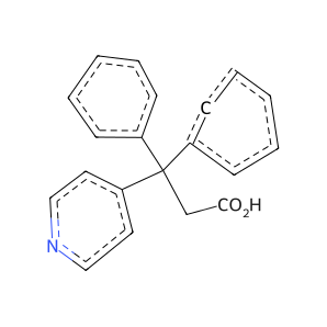 O=C(O)CC(c1ccccc1)(c1ccccc1)c1ccncc1